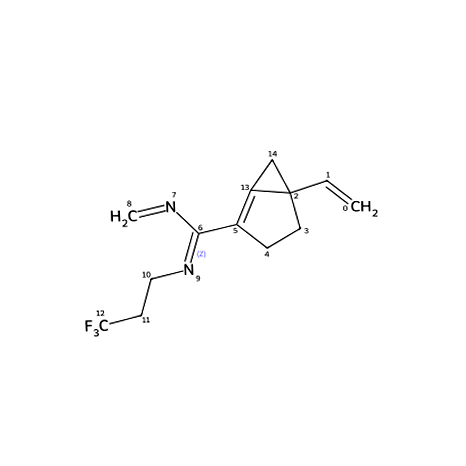 C=CC12CCC(/C(N=C)=N/CCC(F)(F)F)=C1C2